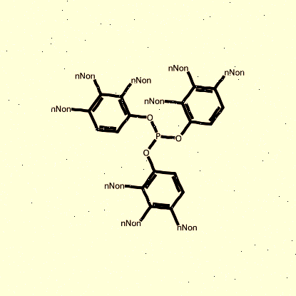 CCCCCCCCCc1ccc(OP(Oc2ccc(CCCCCCCCC)c(CCCCCCCCC)c2CCCCCCCCC)Oc2ccc(CCCCCCCCC)c(CCCCCCCCC)c2CCCCCCCCC)c(CCCCCCCCC)c1CCCCCCCCC